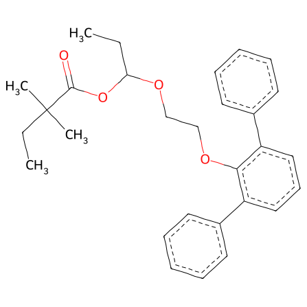 CCC(OCCOc1c(-c2ccccc2)cccc1-c1ccccc1)OC(=O)C(C)(C)CC